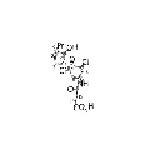 CC(C)c1cccc(Oc2c(Cl)cc(NC(=O)CCC(=O)O)cc2Cl)c1O